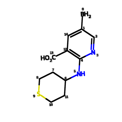 Bc1cnc(NC2CCSCC2)c(C(=O)O)c1